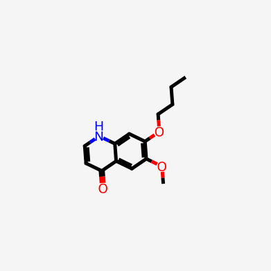 CCCCOc1cc2[nH]ccc(=O)c2cc1OC